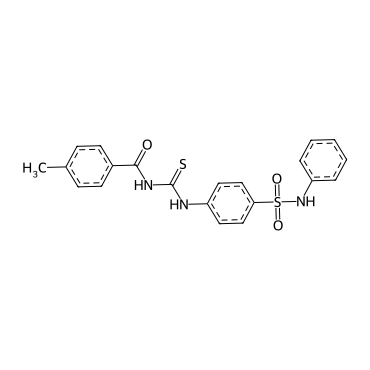 Cc1ccc(C(=O)NC(=S)Nc2ccc(S(=O)(=O)Nc3ccccc3)cc2)cc1